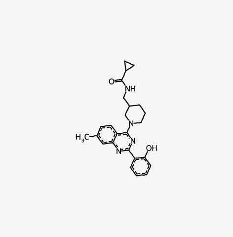 Cc1ccc2c(N3CCCC(CNC(=O)C4CC4)C3)nc(-c3ccccc3O)nc2c1